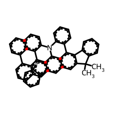 CC1(C)c2ccccc2-c2c(-c3ccccc3N(c3ccccc3-c3cccc4cccc(-c5ccccc5)c34)c3cccc4c3sc3ccccc34)cccc21